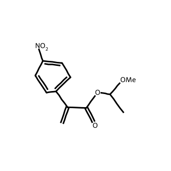 C=C(C(=O)OC(C)OC)c1ccc([N+](=O)[O-])cc1